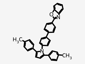 Cc1ccc(-c2ccc(-c3ccc(C)cc3)n2-c2ccc(-c3ccc(-c4nc5ccccc5o4)cc3)cc2)cc1